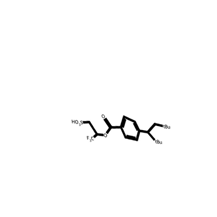 CC(C)(C)CC(c1ccc(C(=O)OC(CS(=O)(=O)O)C(F)(F)F)cc1)C(C)(C)C